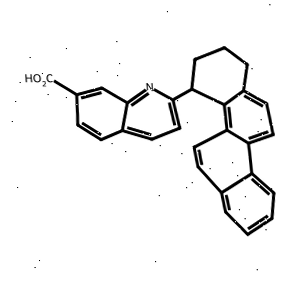 O=C(O)c1ccc2ccc(C3CCCc4ccc5c(ccc6ccccc65)c43)nc2c1